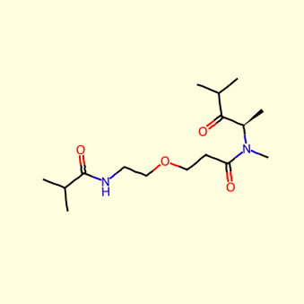 CC(C)C(=O)NCCOCCC(=O)N(C)[C@H](C)C(=O)C(C)C